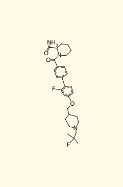 CC(C)(F)CN1CCC(COc2ccc(-c3ccc(C(=O)N4CCCC[C@@H]4C(N)=O)cc3)c(F)c2)CC1